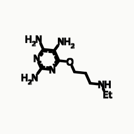 CCNCCCOc1nc(N)nc(N)c1N